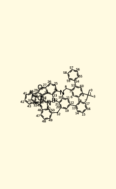 CC(C)(C)c1ccc(CN2c3cc(-c4ccccc4)cc4c3B(c3c2ccc2oc5ccccc5c32)n2c3oc5ccccc5c3c3cccc(c32)C4)c(-c2ccccc2)c1